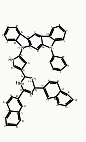 c1ccc(-n2c3ccccc3c3cc4c5ccccc5n(-c5cc(C6NC(c7ccc8ccccc8c7)=NC(c7ccc8ccccc8c7)N6)c[nH]5)c4cc32)cc1